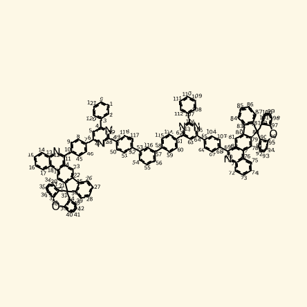 c1ccc(-c2cc(-c3ccc(-c4nc5ccccc5c5cc6c(cc45)-c4ccccc4C64c5ccccc5Oc5ccccc54)cc3)nc(-c3ccc(-c4cccc(-c5ccc(-c6cc(-c7ccc(-c8nc9ccccc9c9cc%10c(cc89)-c8ccccc8C%108c9ccccc9Oc9ccccc98)cc7)nc(-c7ccccc7)n6)cc5)c4)cc3)n2)cc1